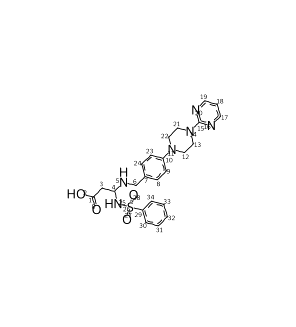 O=C(O)CC(NCc1ccc(N2CCN(c3ncccn3)CC2)cc1)NS(=O)(=O)c1ccccc1